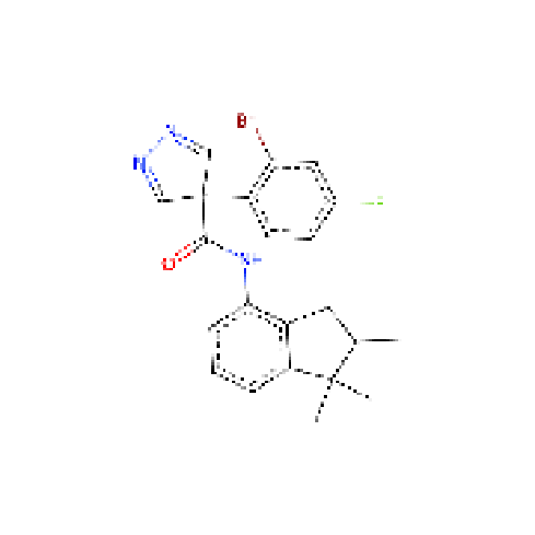 CC1Cc2c(NC(=O)C3(c4ccc(F)cc4Br)C=NN=C3)cccc2C1(C)C